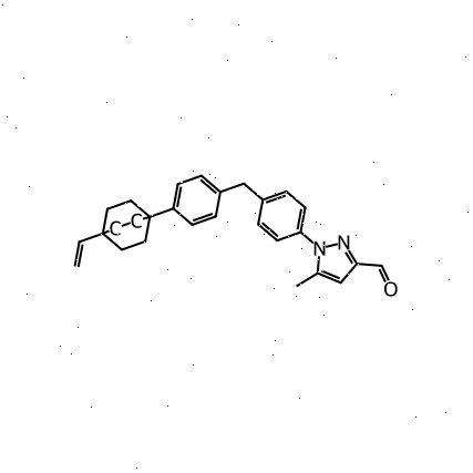 C=CC12CCC(c3ccc(Cc4ccc(-n5nc(C=O)cc5C)cc4)cc3)(CC1)CC2